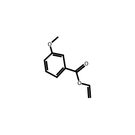 C=COC(=O)c1cccc(OC)c1